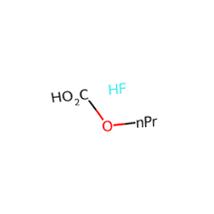 CCCOC(=O)O.F